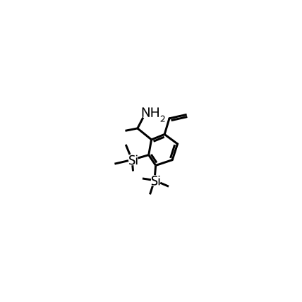 C=Cc1ccc([Si](C)(C)C)c([Si](C)(C)C)c1C(C)N